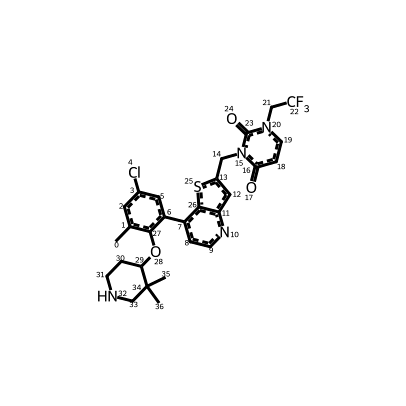 Cc1cc(Cl)cc(-c2ccnc3cc(Cn4c(=O)ccn(CC(F)(F)F)c4=O)sc23)c1OC1CCNCC1(C)C